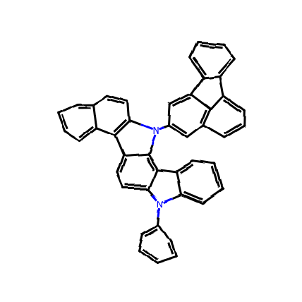 c1ccc(-n2c3ccccc3c3c2ccc2c4c5ccccc5ccc4n(-c4cc5c6c(cccc6c4)-c4ccccc4-5)c23)cc1